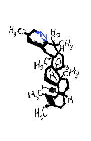 Cc1cnc2c(c1)C[C@]1(C)[C@H]3CC=C4[C@H]5[C@@H](CC[C@@H](C)[C@@H]5C)CC[C@@]4(C)[C@]3(C)CC[C@H]1C2(C)C